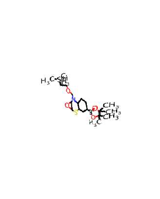 C[SiH](C)CCOCN1C2CCC(B3OC(C)(C)C(C)(C)O3)CC2SC2OC21